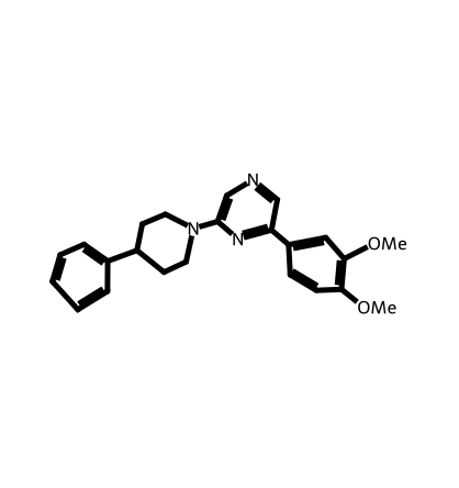 COc1ccc(-c2cncc(N3CCC(c4ccccc4)CC3)n2)cc1OC